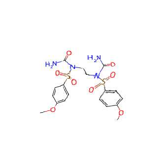 COc1ccc(S(=O)(=O)N(CCN(C(N)=O)S(=O)(=O)c2ccc(OC)cc2)C(N)=O)cc1